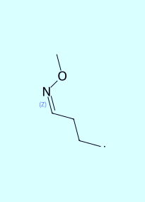 [CH2]CC/C=N\OC